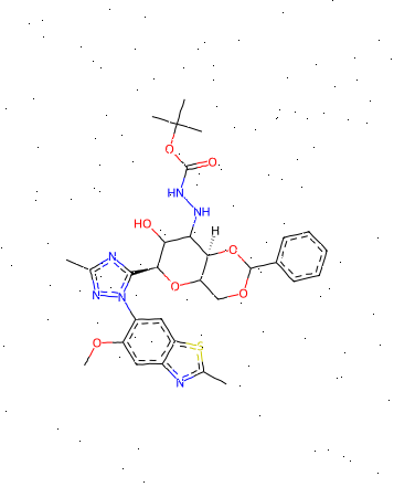 COc1cc2nc(C)sc2cc1-n1nc(C)nc1[C@@H]1OC2COC(c3ccccc3)O[C@@H]2C(NNC(=O)OC(C)(C)C)C1O